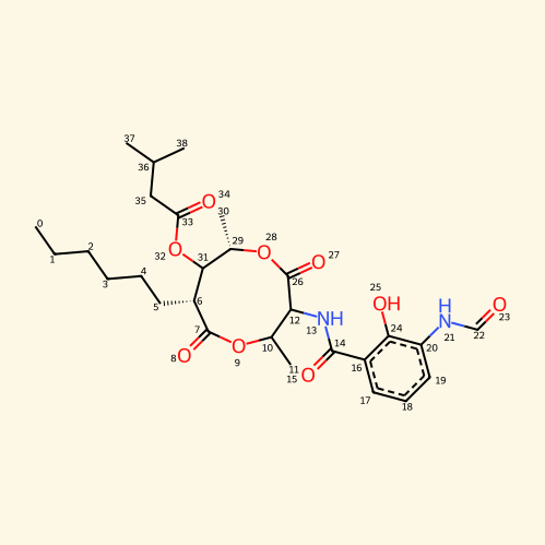 CCCCCC[C@H]1C(=O)OC(C)C(NC(=O)c2cccc(NC=O)c2O)C(=O)O[C@@H](C)C1OC(=O)CC(C)C